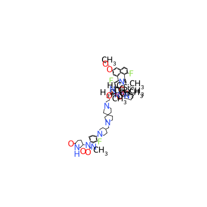 COCOc1cc(-c2ncc3c(N4CC5CCC(C4)N5C(=O)OC(C)(C)C)nc(OCCN4CCC5(CC4)CCN(CC4CCN(c6ccc7c(c6F)n(C)c(=O)n7C6CCC(=O)NC6=O)CC4)CC5)nc3c2F)c2c(C#C[Si](C(C)C)(C(C)C)C(C)C)c(F)ccc2c1